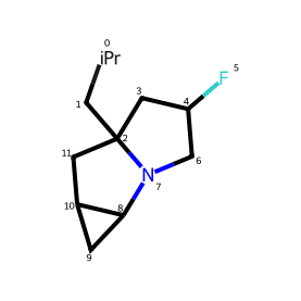 CC(C)CC12CC(F)CN1C1CC1C2